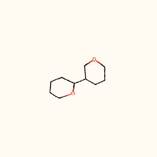 C1CCC(C2CCCOC2)OC1